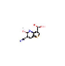 COc1nc2c(B(O)O)csc2cc1C#N